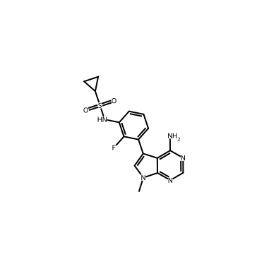 Cn1cc(-c2cccc(NS(=O)(=O)C3CC3)c2F)c2c(N)ncnc21